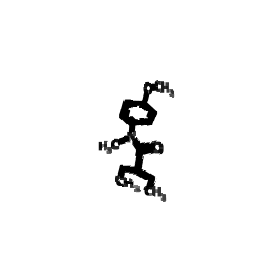 CCC(CC)C(=O)N(C)c1ccc(OC)cc1